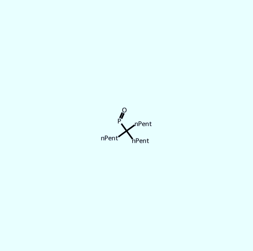 CCCCCC(CCCCC)(CCCCC)P=O